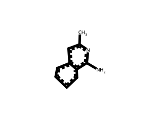 Cc1cc2ccccc2c(N)n1